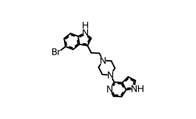 Brc1ccc2[nH]cc(CCN3CCN(c4nccc5[nH]ccc45)CC3)c2c1